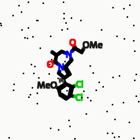 COCC(=O)N1CC2=C[C@H](c3c(OC)ccc(Cl)c3Cl)CN2C(=O)C(C)C1